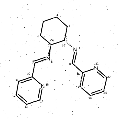 C(=N[C@H]1CCCC[C@@H]1N=Cc1ccccn1)c1ccccn1